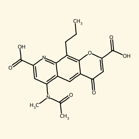 CCCc1c2nc(C(=O)O)cc(N(C)C(C)=O)c2cc2c(=O)cc(C(=O)O)oc12